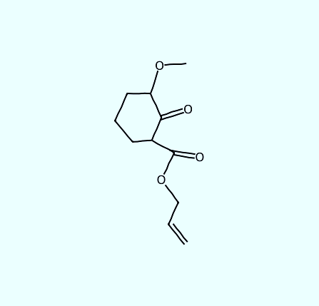 C=CCOC(=O)C1CCCC(OC)C1=O